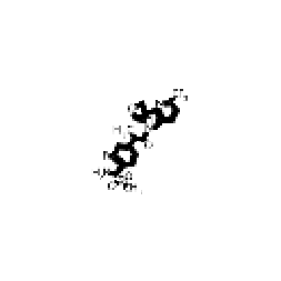 CC(C(=O)NCc1ccc(C(F)(F)F)nc1-c1ccoc1)c1ccc(C(N)S(C)(=O)=O)c(F)c1